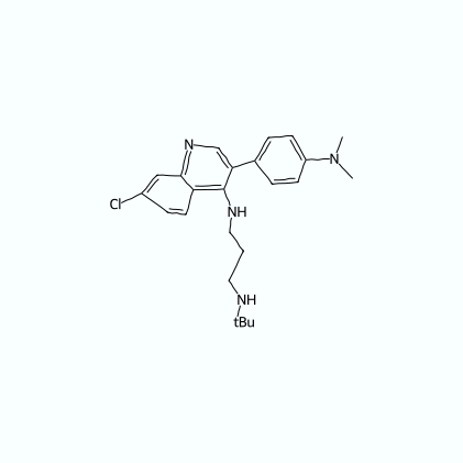 CN(C)c1ccc(-c2cnc3cc(Cl)ccc3c2NCCCNC(C)(C)C)cc1